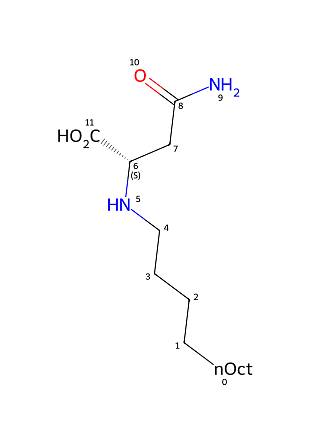 CCCCCCCCCCCCN[C@@H](CC(N)=O)C(=O)O